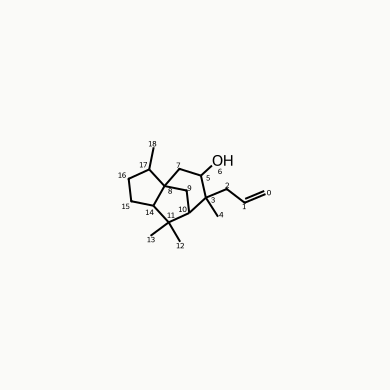 C=CCC1(C)C(O)CC23CC1C(C)(C)C2CCC3C